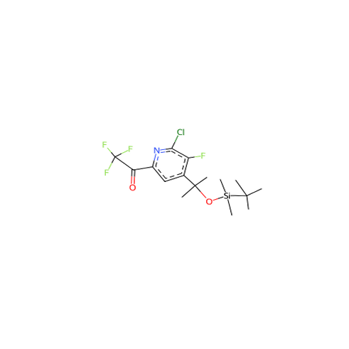 CC(C)(O[Si](C)(C)C(C)(C)C)c1cc(C(=O)C(F)(F)F)nc(Cl)c1F